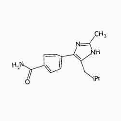 Cc1nc(-c2ccc(C(N)=O)cc2)c(CC(C)C)[nH]1